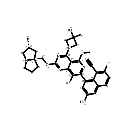 C#Cc1c(F)ccc2cc(O)cc(-c3nc(OC)c4c(N5CC(C)(O)C5)nc(OC[C@@]56CCCN5C[C@H](F)C6)nc4c3F)c12